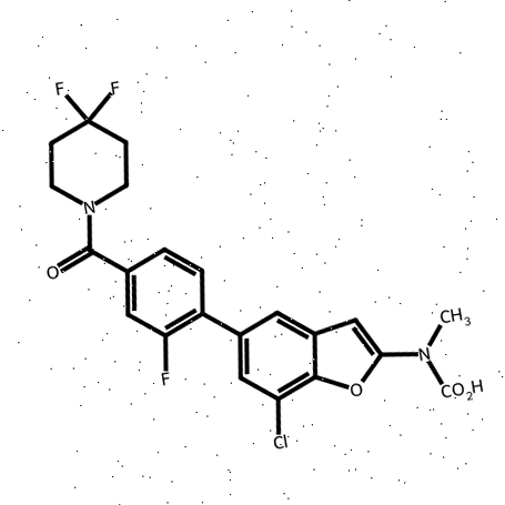 CN(C(=O)O)c1cc2cc(-c3ccc(C(=O)N4CCC(F)(F)CC4)cc3F)cc(Cl)c2o1